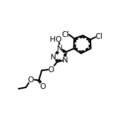 CCOC(=O)COc1nc(-c2ccc(Cl)cc2Cl)n(O)n1